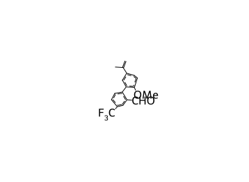 C=C(C)c1ccc(OC)c(-c2ccc(C(F)(F)F)cc2C=O)c1